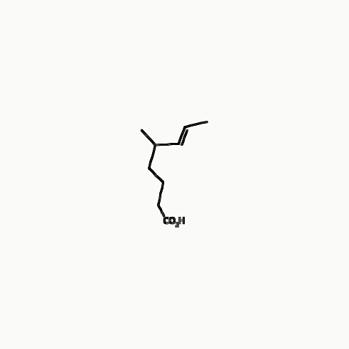 CC=CC(C)CCCC(=O)O